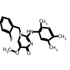 COc1cn(Cc2ccccc2F)c(Nc2cc(C)c(C)cc2C)nc1=O